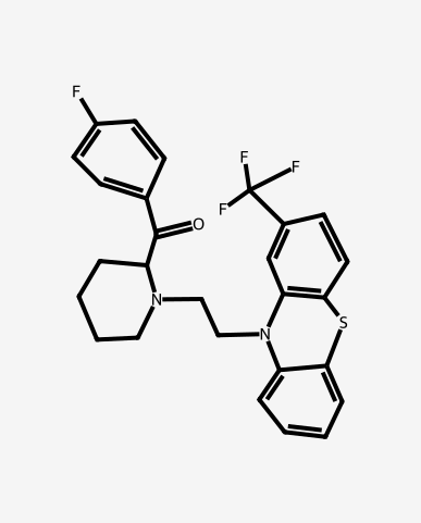 O=C(c1ccc(F)cc1)C1CCCCN1CCN1c2ccccc2Sc2ccc(C(F)(F)F)cc21